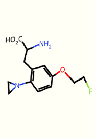 NC(Cc1cc(OCCF)ccc1N1CC1)C(=O)O